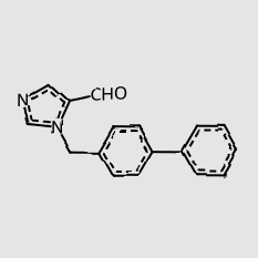 O=Cc1cncn1Cc1ccc(-c2ccccc2)cc1